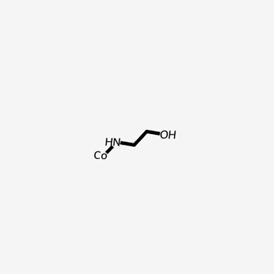 OCC[NH][Co]